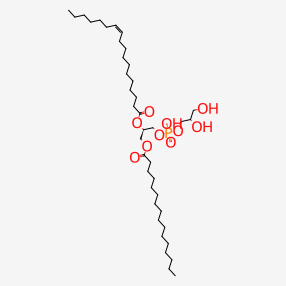 CCCCCC/C=C\CCCCCCCCCC(=O)O[C@H](COC(=O)CCCCCCCCCCCCCCC)COP(=O)(O)OC[C@@H](O)CO